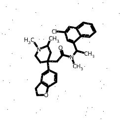 CC1CC(CC(=O)N(C)C(C)c2cc(Cl)cc3ccccc23)(c2ccc3c(c2)CCO3)CCN1C